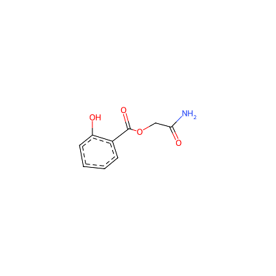 NC(=O)COC(=O)c1ccccc1O